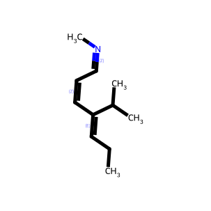 CC/C=C(/C=C\C=N/C)C(C)C